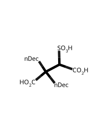 CCCCCCCCCCC(CCCCCCCCCC)(C(=O)O)C(C(=O)O)S(=O)(=O)O